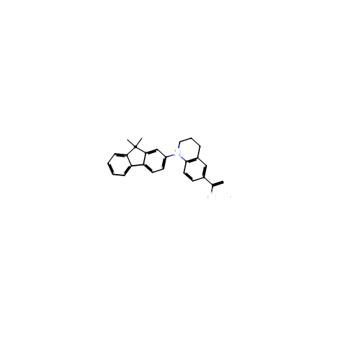 C=C(C=O)c1ccc2c(c1)CCCN2c1ccc2c(c1)C(C)(C)c1ccccc1-2